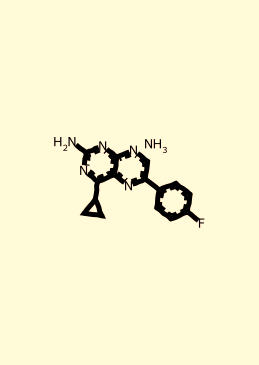 N.Nc1nc(C2CC2)c2nc(-c3ccc(F)cc3)cnc2n1